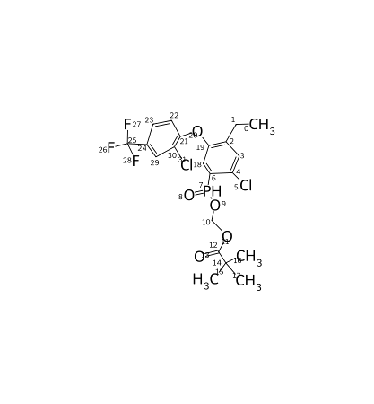 CCc1cc(Cl)c([PH](=O)OCOC(=O)C(C)(C)C)cc1Oc1ccc(C(F)(F)F)cc1Cl